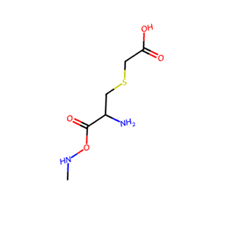 CNOC(=O)C(N)CSCC(=O)O